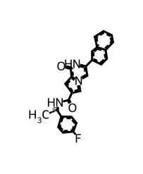 C[C@@H](NC(=O)c1cc2c(=O)[nH]c(-c3ccc4ccccc4c3)cn2c1)c1ccc(F)cc1